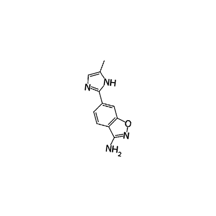 Cc1cnc(-c2ccc3c(N)noc3c2)[nH]1